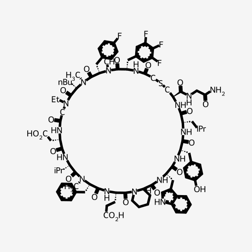 CCCC[C@H]1C(=O)N(CC)CC(=O)N[C@@H](CC(=O)O)C(=O)N[C@@H](C(C)C)C(=O)N(C)[C@@H](Cc2ccccc2)C(=O)N[C@@H](CCC(=O)O)C(=O)N2CCCC[C@@H]2C(=O)N[C@@H](Cc2c[nH]c3ccccc23)C(=O)N[C@@H](Cc2ccc(O)cc2)C(=O)N[C@@H](CC(C)C)C(=O)N[C@H](C(=O)NCC(N)=O)CSCC(=O)N[C@@H](Cc2cc(F)c(F)c(F)c2)C(=O)N(C)[C@@H](Cc2ccc(F)cc2)C(=O)N1C